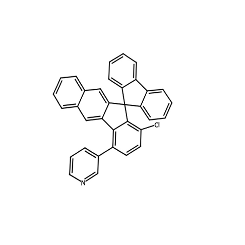 Clc1ccc(-c2cccnc2)c2c1C1(c3ccccc3-c3ccccc31)c1cc3ccccc3cc1-2